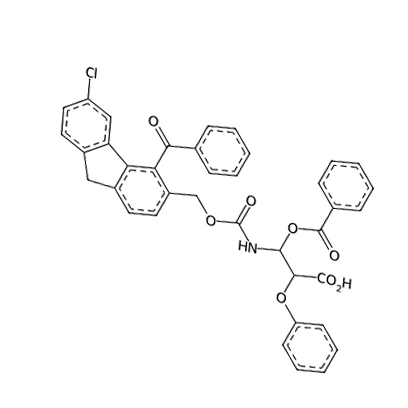 O=C(NC(OC(=O)c1ccccc1)C(Oc1ccccc1)C(=O)O)OCc1ccc2c(c1C(=O)c1ccccc1)-c1cc(Cl)ccc1C2